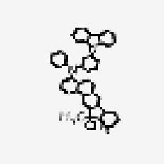 CC1(C)c2ccccc2-c2cc3ccc4c(N(c5ccccc5)c5cccc(-n6c7ccccc7c7ccccc76)c5)cccc4c3cc21